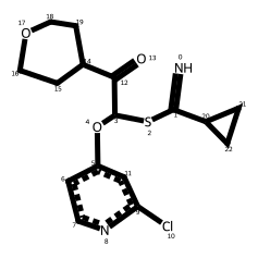 N=C(SC(Oc1ccnc(Cl)c1)C(=O)C1CCOCC1)C1CC1